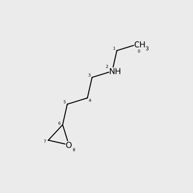 CCNCCCC1CO1